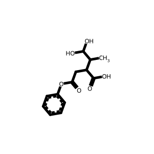 CC(C(O)O)C(CC(=O)Oc1ccccc1)C(=O)O